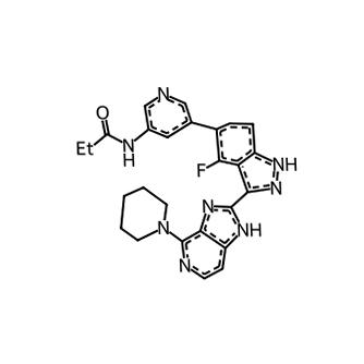 CCC(=O)Nc1cncc(-c2ccc3[nH]nc(-c4nc5c(N6CCCCC6)nccc5[nH]4)c3c2F)c1